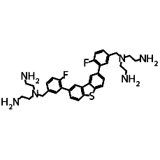 NCCN(CCN)Cc1ccc(F)c(-c2ccc3sc4ccc(-c5cc(CN(CCN)CCN)ccc5F)cc4c3c2)c1